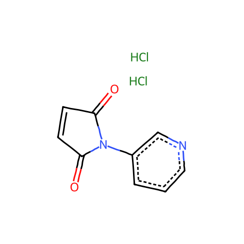 Cl.Cl.O=C1C=CC(=O)N1c1cccnc1